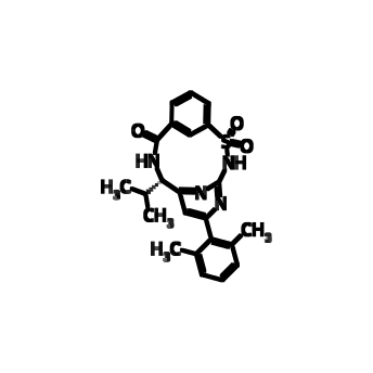 Cc1cccc(C)c1-c1cc2nc(n1)NS(=O)(=O)c1cccc(c1)C(=O)N[C@H]2C(C)C